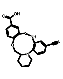 N#Cc1ccc2c(c1)NSc1cc(C(=O)O)ccc1OCC1CCCCN21